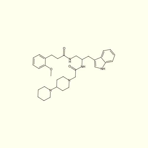 COc1ccccc1CCC(=O)NCC(Cc1c[nH]c2ccccc12)NC(=O)CN1CCC(N2CCCCC2)CC1